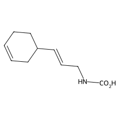 O=C(O)NCC=CC1CC=CCC1